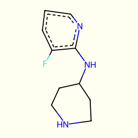 Fc1cccnc1NC1CCNCC1